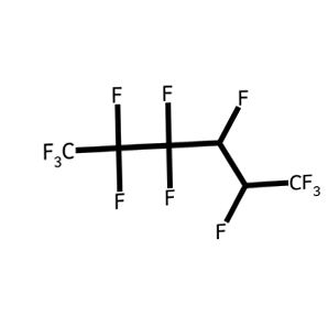 FC(C(F)C(F)(F)C(F)(F)C(F)(F)F)C(F)(F)F